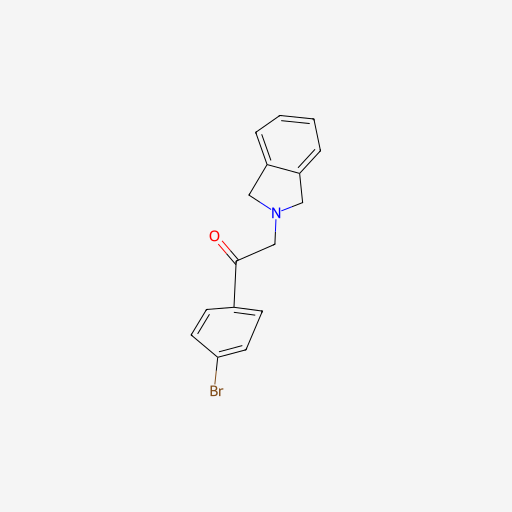 O=C(CN1Cc2ccccc2C1)c1ccc(Br)cc1